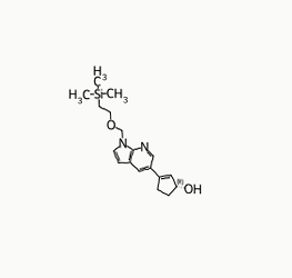 C[Si](C)(C)CCOCn1ccc2cc(C3=C[C@H](O)CC3)cnc21